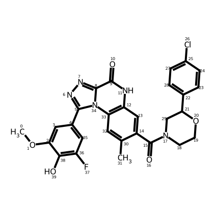 COc1cc(-c2nnc3c(=O)[nH]c4cc(C(=O)N5CCOC(c6ccc(Cl)cc6)C5)c(C)cc4n23)cc(F)c1O